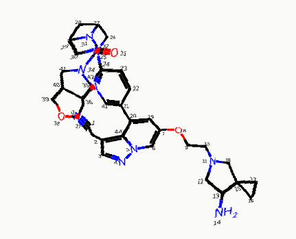 N#Cc1cnn2cc(OCCN3CC(N)C4(CC4)C3)cc(-c3ccc(N4CC5CC(C4)N5C(=O)N4CC5COCC5C4)nc3)c12